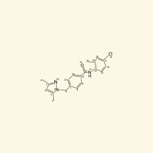 Cc1cc(C)n(Cc2ccc(C(=O)Nc3ccc(Cl)cc3C)cc2)n1